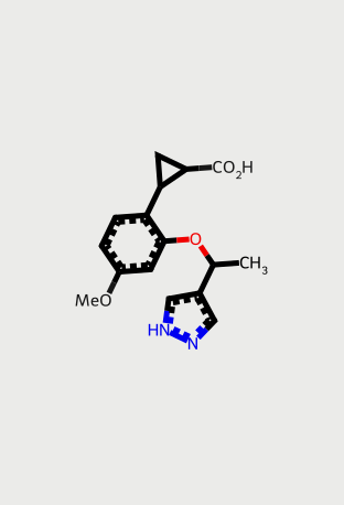 COc1ccc(C2CC2C(=O)O)c(OC(C)c2cn[nH]c2)c1